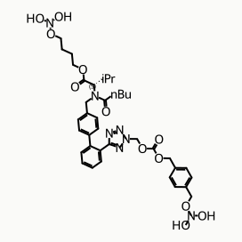 CCCCC(=O)N(Cc1ccc(-c2ccccc2-c2nnn(COC(=O)OCc3ccc(CON(O)O)cc3)n2)cc1)[C@H](C(=O)OCCCCON(O)O)C(C)C